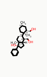 C[C@H]1CC[C@](C)([C@H]2CC[C@@]3(C)[C@@H](CC[C@@]3(O)c3ccccc3)[C@@H]2CO)[C@@H](CO)C1